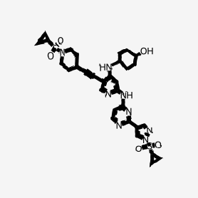 O=S(=O)(C1CC1)N1CCC(C#Cc2cnc(Nc3ccnc(-c4cnn(S(=O)(=O)C5CC5)c4)n3)cc2NC2CCC(O)CC2)CC1